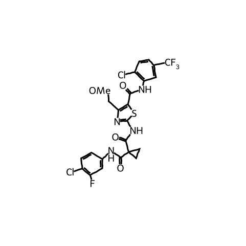 COCc1nc(NC(=O)C2(C(=O)Nc3ccc(Cl)c(F)c3)CC2)sc1C(=O)Nc1cc(C(F)(F)F)ccc1Cl